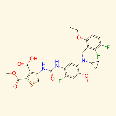 CCOc1ccc(F)c(F)c1CN(c1cc(NC(=O)Nc2csc(C(=O)OC)c2C(=O)O)c(F)cc1OC)C1CC1